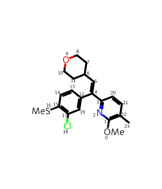 COc1nc(C(=CC2CCOCC2)c2ccc(SC)c(Cl)c2)ccc1C